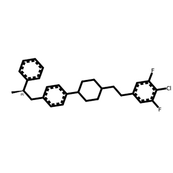 C[C@H](Cc1ccc(C2CCC(CCc3cc(F)c(Cl)c(F)c3)CC2)cc1)c1ccccc1